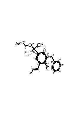 CC=Cc1cc(C(OCOC)(C(F)(F)F)C(F)(F)F)cc(Cc2ccccc2)c1O